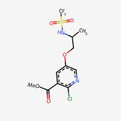 COC(=O)c1cc(OCC(C)NS(=O)(=O)C(F)(F)F)cnc1Cl